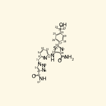 CNC(=O)c1cn(Cc2cccc(Nc3sc(-c4ccc(C(C)(C)O)cc4)nc3C(N)=O)n2)nn1